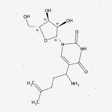 C=C(C)CCC(N)c1cn([C@@H]2O[C@H](CO)[C@@H](O)[C@H]2O)c(=O)[nH]c1=O